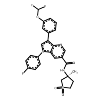 C[C@]1(NC(=O)c2cnc3c(-c4cccc(OC(F)F)c4)cn(-c4ccc(F)cc4)c3c2)CCS(=O)(=O)C1